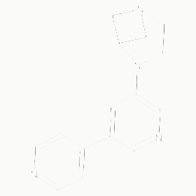 c1cc(-c2cncc(N3CCN4CC3C4)c2)ccn1